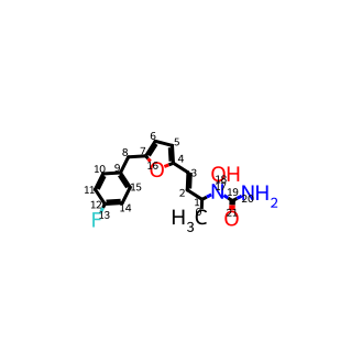 CC(C=Cc1ccc(Cc2ccc(F)cc2)o1)N(O)C(N)=O